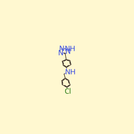 Clc1ccc(CNc2ccc(-c3nn[nH]n3)cc2)cc1